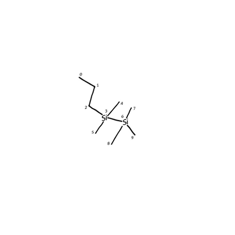 CCC[Si](C)(C)[Si](C)(C)C